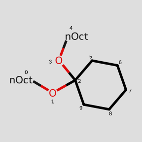 CCCCCCCCOC1(OCCCCCCCC)CCCCC1